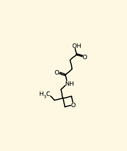 CCC1(CNC(=O)CCC(=O)O)COC1